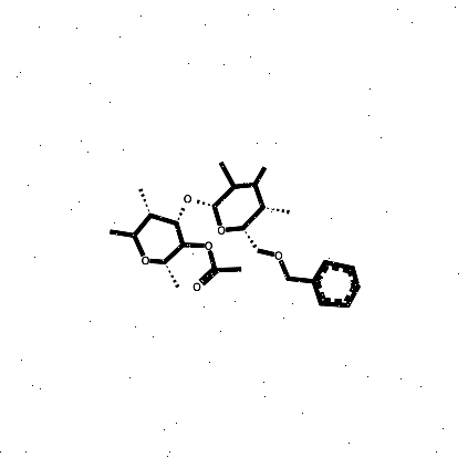 CC(=O)OC1[C@H](C)OC(C)[C@H](C)[C@@H]1O[C@H]1O[C@@H](COCc2ccccc2)[C@@H](C)C(C)C1C